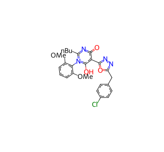 CCCCc1nc(=O)c(-c2nnc(Cc3ccc(Cl)cc3)o2)c(O)n1-c1c(OC)cccc1OC